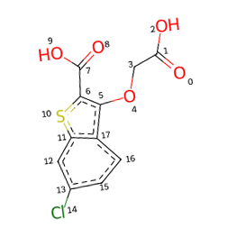 O=C(O)COc1c(C(=O)O)sc2cc(Cl)ccc12